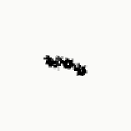 O=S(=O)(N[C@H](CO)C1CCC(NCc2ccccn2)CC1)c1ccc(Cl)s1